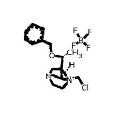 C[C@@H](OCc1ccccc1)[C@@H]1CN2CC[N+]1(CCl)CC2.F[B-](F)(F)F